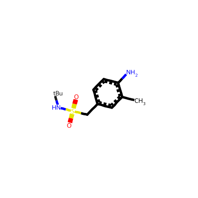 Cc1cc(CS(=O)(=O)NC(C)(C)C)ccc1N